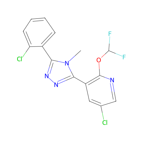 Cn1c(-c2ccccc2Cl)nnc1-c1cc(Cl)cnc1OC(F)F